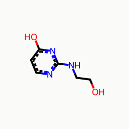 OCCNc1nccc(O)n1